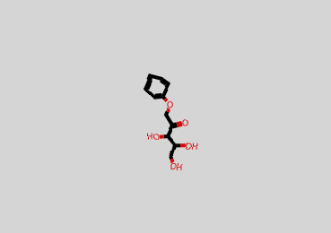 O=C(COc1ccccc1)C(O)C(O)CO